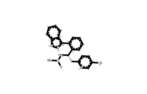 CC(C)(C)[S+]([O-])N[C@@H](Cc1ccc(C#N)cn1)c1ccccc1-c1noc2ccccc12